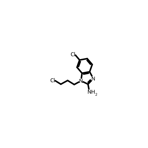 Nc1nc2ccc(Cl)cc2n1CCCCl